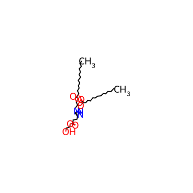 CCCCCCCCCCCCCC(=O)OCC(Cn1cc(CCC(=O)OCCO)nn1)OC(=O)CCCCCCCCCCCCC